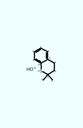 CC1(C)CCc2ccccc2S1.Cl